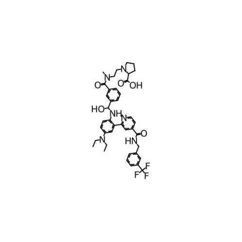 CCN(CC)c1ccc(NC(O)c2cccc(C(=O)N(C)CCN3CCCC3C(=O)O)c2)c(-c2cc(C(=O)NCc3cccc(C(F)(F)F)c3)ccn2)c1